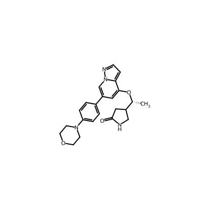 C[C@@H](Oc1cc(-c2ccc(N3CCOCC3)cc2)cn2nccc12)C1CNC(=O)C1